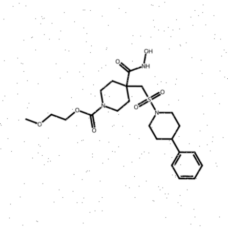 COCCOC(=O)N1CCC(CS(=O)(=O)N2CCC(c3ccccc3)CC2)(C(=O)NO)CC1